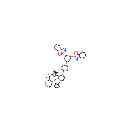 CC1(C)c2ccccc2C2(c3ccccc3-c3ccc(-c4ccc(-c5cc(-c6nc7ccccc7o6)cc(-c6nc7ccccc7o6)c5)cc4)cc32)c2ccccc21